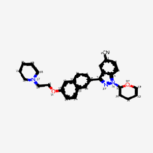 N#Cc1ccc2c(c1)c(-c1ccc3cc(OCCN4CCCCC4)ccc3c1)nn2C1CCCCO1